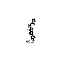 O=C(O)CC1CCC(c2ccc(C(=O)Nc3nnc(CC(=O)N4CCCC4)s3)cc2)CC1